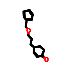 O=C1C=CC(CCCOCc2ccccc2)CC1